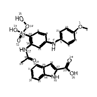 COc1ccc(Nc2ccc([As](=O)(O)OO)c(NC(C)=O)c2)cc1.O=C(O)c1cc2ccccc2[nH]1